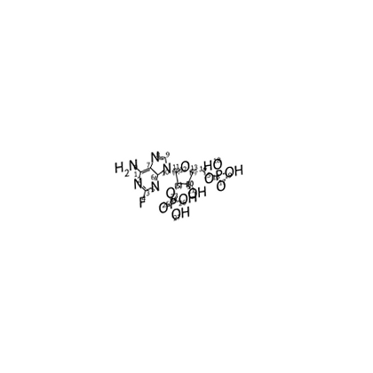 Nc1nc(F)nc2c1ncn2[C@@H]1O[C@H](COP(=O)(O)O)[C@@H](O)[C@@H]1OP(=O)(O)O